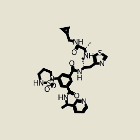 CC(NC(=O)c1cc(C(=O)N[C@H](CN[C@@H](C)C(=O)NCC2CC2)Cc2cscn2)cc(N2CCCNS2(=O)=O)c1)c1cccnc1